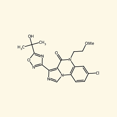 COCCn1c(=O)c2c(-c3noc(C(C)(C)O)n3)ncn2c2ccc(Cl)cc21